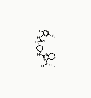 CN(C)c1nc(NC2CCC(NC(=O)Nc3cc(C(F)(F)F)ccc3F)CC2)nc2c1CCCC2